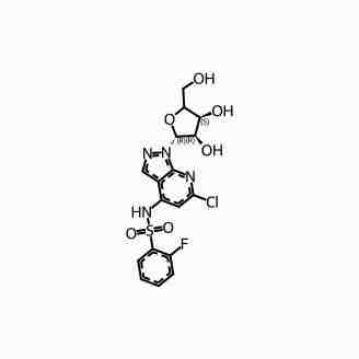 O=S(=O)(Nc1cc(Cl)nc2c1cnn2[C@@H]1OC(CO)[C@@H](O)[C@H]1O)c1ccccc1F